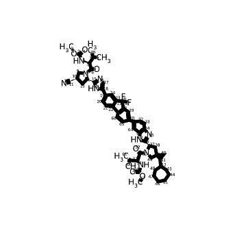 COC(=O)N[C@H](C(=O)N1C[C@@H](C#N)C[C@H]1c1ncc(-c2ccc3c(c2)C(F)(F)c2cc(-c4ccc5nc([C@@H]6CC7(CC7C7CCCCCC7)CN6C(=O)[C@@H](NC(=O)OC)C(C)C)[nH]c5c4)ccc2-3)[nH]1)C(C)C